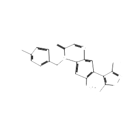 COc1cc2c(cc1-c1c(C)noc1C)ncc(=O)n2Cc1ccc(Cl)cc1